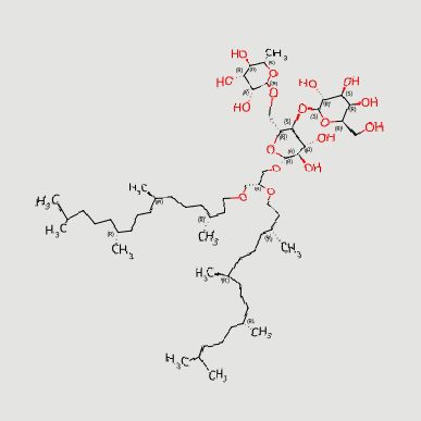 CC(C)CCC[C@@H](C)CCC[C@@H](C)CCC[C@@H](C)CCOC[C@H](CO[C@@H]1O[C@H](CO[C@@H]2O[C@@H](C)[C@H](O)[C@@H](O)[C@H]2O)[C@@H](O[C@@H]2O[C@H](CO)[C@H](O)[C@H](O)[C@H]2O)[C@H](O)[C@H]1O)OCC[C@H](C)CCC[C@H](C)CCC[C@H](C)CCCC(C)C